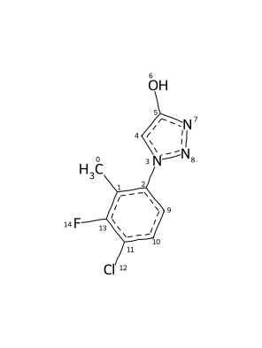 Cc1c(-n2cc(O)nn2)ccc(Cl)c1F